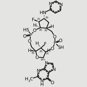 Cc1nc2c(ncn2[C@@H]2O[C@@H]3COP(=O)(S)O[C@@H]4[C@@H](COP(=O)(S)O[C@@H]2[C@@H]3F)C[C@@H](Nc2ccncn2)[C@@H]4F)c(=O)[nH]1